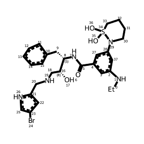 CCNc1cc(C(=O)N[C@@H](Cc2ccccc2)[C@H](O)CNCc2cc(Br)c[nH]2)cc(N2CCCCS2(O)O)c1